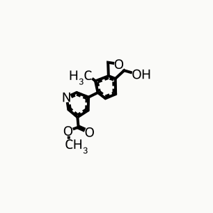 COC(=O)c1cncc(-c2ccc3c(c2C)COC3O)c1